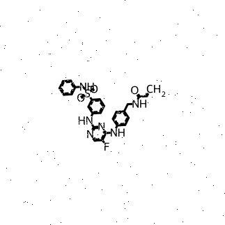 C=CC(=O)NCc1ccc(Nc2nc(Nc3cccc(S(=O)(=O)Nc4ccccc4)c3)ncc2F)cc1